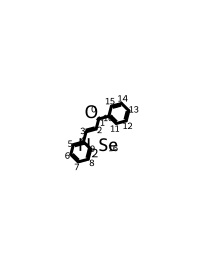 O=C(C=Cc1ccccc1)c1ccccc1.[SeH2]